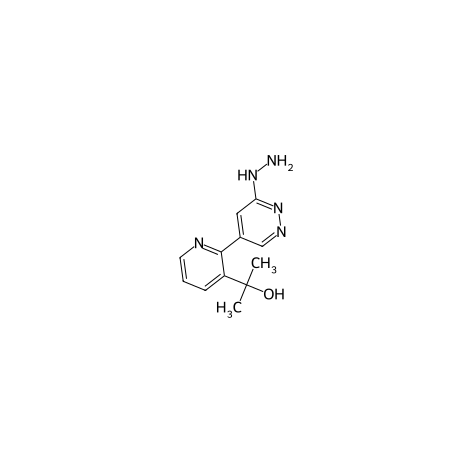 CC(C)(O)c1cccnc1-c1cnnc(NN)c1